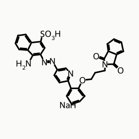 Nc1c(/N=N/c2ccc(-c3ccccc3OCCCN3C(=O)c4ccccc4C3=O)nc2)cc(S(=O)(=O)O)c2ccccc12.[NaH]